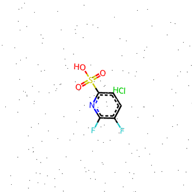 Cl.O=S(=O)(O)c1ccc(F)c(F)n1